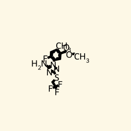 CCOC(=O)c1cc(-n2nc(SCC(F)(F)F)nc2N)c(F)cc1C